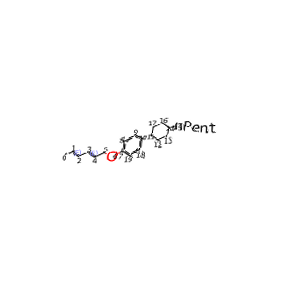 C/C=C/C=C/COc1ccc([C@H]2CC[C@H](CCCCC)CC2)cc1